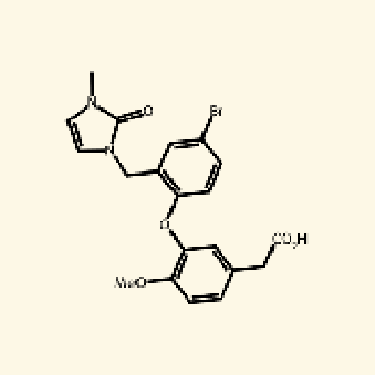 COc1ccc(CC(=O)O)cc1Oc1ccc(Br)cc1Cn1ccn(C)c1=O